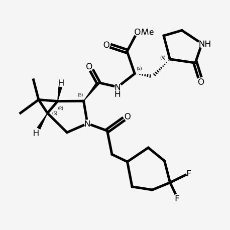 COC(=O)[C@H](C[C@@H]1CCNC1=O)NC(=O)[C@@H]1[C@@H]2[C@H](CN1C(=O)CC1CCC(F)(F)CC1)C2(C)C